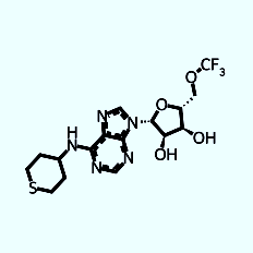 O[C@@H]1[C@H](O)[C@@H](COC(F)(F)F)O[C@H]1n1cnc2c(NC3CCSCC3)ncnc21